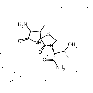 CC1C(N)C(=O)NC12SCN([C@H](C(N)=O)[C@@H](C)O)C2=O